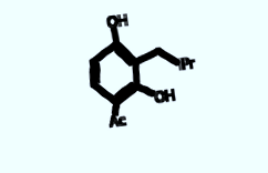 CC(=O)c1ccc(O)c(CC(C)C)c1O